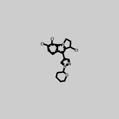 CCC1CCn2c1c(-c1cnn(C3CCCCO3)c1)c1ccc(Cl)c(Cl)c12